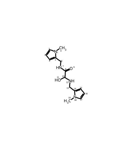 Cn1cccc1CNC(=O)C(O)NCc1cccn1C